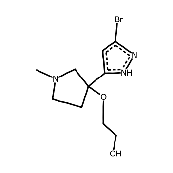 CN1CCC(OCCO)(c2cc(Br)n[nH]2)C1